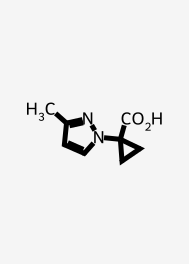 Cc1ccn(C2(C(=O)O)CC2)n1